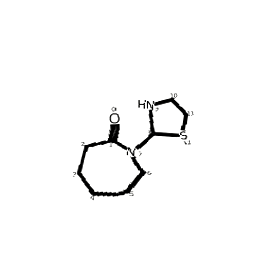 O=C1CCCCCN1C1NCCS1